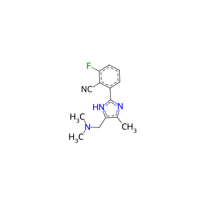 Cc1nc(-c2cccc(F)c2C#N)[nH]c1CN(C)C